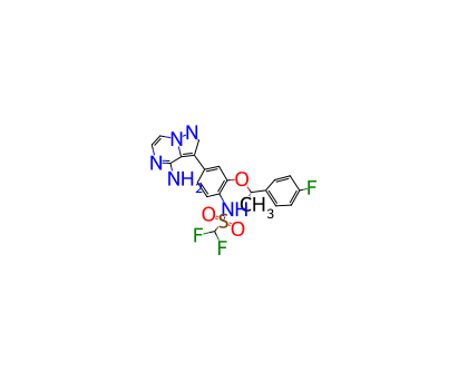 C[C@H](Oc1cc(-c2cnn3ccnc(N)c23)ccc1NS(=O)(=O)C(F)F)c1ccc(F)cc1